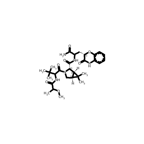 COC(C)C(=O)NC(C(=O)N1C[C@H]2[C@@H]([C@H]1C(=O)NC(C[C@@H]1Oc3ccccc3NC1=O)C(N)=O)C2(C)C)C(C)(C)C